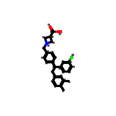 Cc1ccc(CC(c2ccc(CN3CC(C(=O)O)C3)cc2)c2cccc(Cl)c2)cc1C